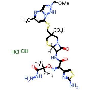 COCN1C=C2N=C(C)C=C(SCC3(C(=O)O)CS[C@@H]4C(NC(=O)C(=NOC(C)(C)C(=O)NN)c5csc(N)n5)C(=O)N4C3)N2N1.Cl.Cl